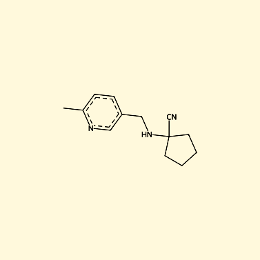 Cc1ccc(CNC2(C#N)CCCC2)cn1